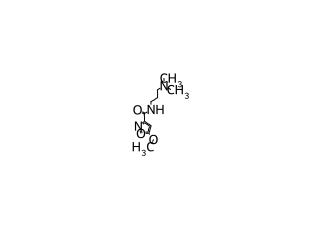 COc1cc(C(=O)NCCCN(C)C)no1